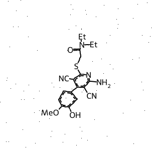 CCN(CC)C(=O)CSc1nc(N)c(C#N)c(-c2ccc(OC)c(O)c2)c1C#N